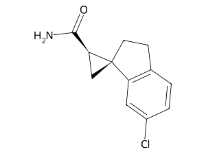 NC(=O)[C@@H]1C[C@]12CCc1ccc(Cl)cc12